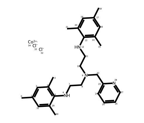 Cc1cc(C)c(NCCN(CCNc2c(C)cc(C)cc2C)Cc2ccccn2)c(C)c1.[Cl-].[Cl-].[Co+2]